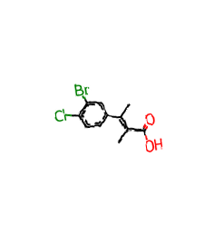 C/C(C(=O)O)=C(/C)c1ccc(Cl)c(Br)c1